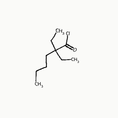 CCCCC(CC)(CC)C(=O)Cl